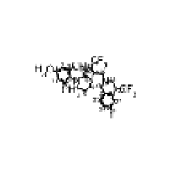 Cc1cc(C)c(N2CCCn3c2nc(C(F)(F)F)c3CN(CCC(F)(F)F)Cc2ccc(F)cc2)c(C)c1